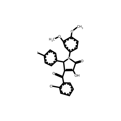 COc1ccc(N2C(=O)C(O)=C(C(=O)c3ccccc3Cl)C2c2ccc(I)cc2)cc1OC